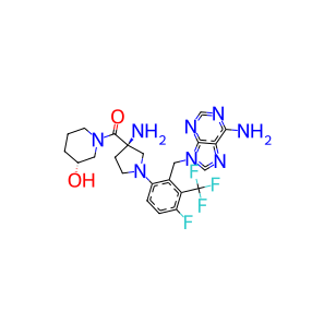 Nc1ncnc2c1ncn2Cc1c(N2CC[C@](N)(C(=O)N3CCC[C@@H](O)C3)C2)ccc(F)c1C(F)(F)F